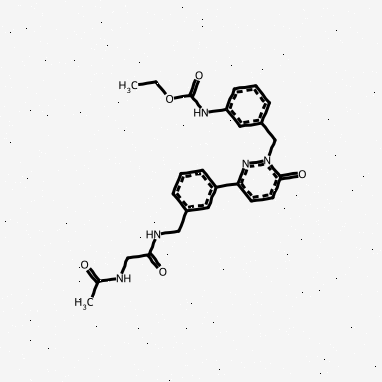 CCOC(=O)Nc1cccc(Cn2nc(-c3cccc(CNC(=O)CNC(C)=O)c3)ccc2=O)c1